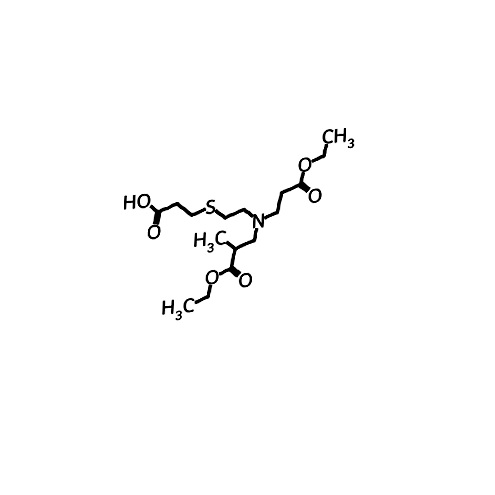 CCOC(=O)CCN(CCSCCC(=O)O)CC(C)C(=O)OCC